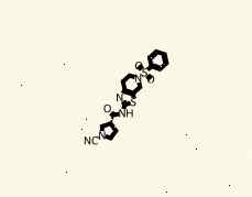 N#CN1CC[C@H](C(=O)Nc2nc3c(s2)CN(S(=O)(=O)c2ccccc2)CC3)C1